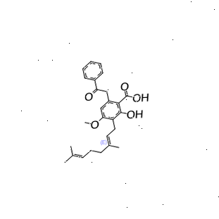 COc1cc(CC(=O)c2ccccc2)c(C(=O)O)c(O)c1C/C=C(\C)CCC=C(C)C